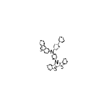 c1ccc(-c2ccc(N(c3ccc(N4C5c6ccccc6SC5C5Sc6ccccc6C54)cc3)c3ccc4sc5ccccc5c4c3)cc2)cc1